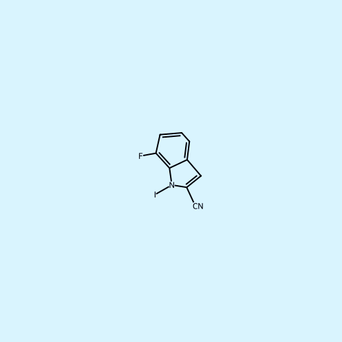 N#Cc1cc2cccc(F)c2n1I